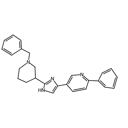 c1ccc(CN2CCCC(c3nc(-c4ccc(-c5ccccc5)nc4)c[nH]3)C2)cc1